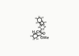 COC(C(=O)N(C)[C@@H]1CCc2[c]c3ccccc3n2C1)c1ccccc1